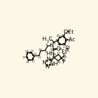 CCOc1cc(C(C)N(CCCCc2ccccc2)C(=O)NC2(c3nnn[nH]3)CC(F)(F)C2)cc(OCC)c1C(C)=O